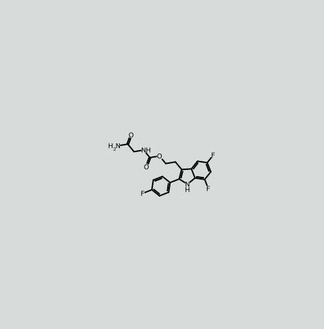 NC(=O)CNC(=O)OCCc1c(-c2ccc(F)cc2)[nH]c2c(F)cc(F)cc12